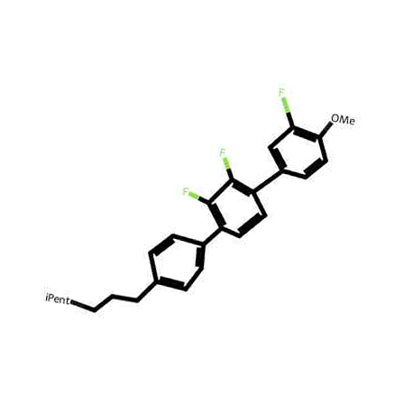 CCCC(C)CCCc1ccc(-c2ccc(-c3ccc(OC)c(F)c3)c(F)c2F)cc1